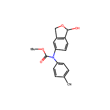 CC(C)(C)OC(=O)N(c1ccc(C#N)cc1)c1ccc2c(c1)COB2O